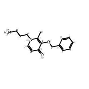 Cc1c(OCc2ccccc2)c(=O)ccn1CCCN